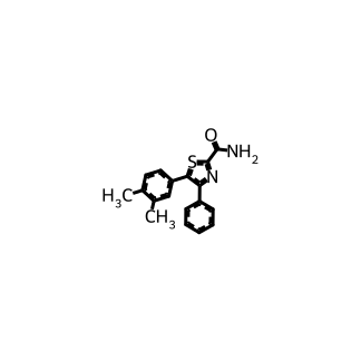 Cc1ccc(-c2sc(C(N)=O)nc2-c2ccccc2)cc1C